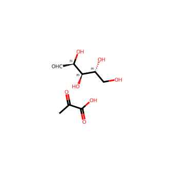 CC(=O)C(=O)O.O=C[C@@H](O)[C@H](O)[C@H](O)CO